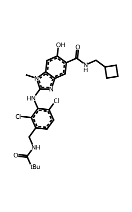 Cn1c(Nc2c(Cl)ccc(CNC(=O)C(C)(C)C)c2Cl)nc2cc(C(=O)NCC3CCC3)c(O)cc21